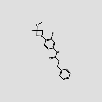 COC1(C)CN(c2ccc(NC(=O)OCc3ccccc3)cc2F)C1